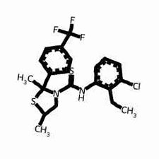 CCc1c(Cl)cccc1NC(=S)N1CC(C)SC1(C)c1ccc(C(F)(F)F)cc1